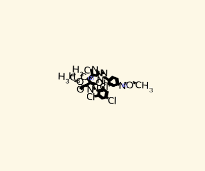 CCO/C=N/c1ccc(-c2nc3/c(=C(/C)c4c(C(=O)OCC)nn(-c5c(Cl)cc(Cl)cc5Cl)c4O)c(C)nn3n2)cc1